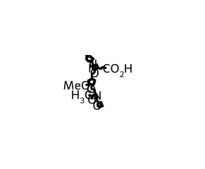 COc1cc(COc2nn(-c3ccccc3)cc2/C=C/C(=O)O)ccc1OCc1nc(-c2ccco2)oc1C